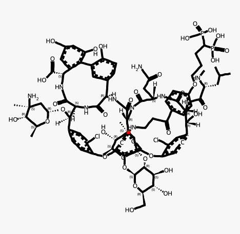 CN[C@H](CC(C)C)C(=O)N[C@H]1C(=O)N[C@@H](CC(N)=O)C(=O)N[C@H]2C(=O)N[C@H]3C(=O)N[C@H](C(=O)N[C@H](C(=O)O)c4cc(O)cc(O)c4-c4cc3ccc4O)[C@H](O[C@H]3C[C@](C)(N)[C@@H](O)[C@H](C)O3)c3ccc(c(Cl)c3)Oc3cc2cc(c3O[C@@H]2O[C@H](CO)[C@@H](O)[C@H](O)[C@H]2O[C@H]2C[C@](C)(NCCC(=O)c3ccc(OCCCC(P(=O)(O)O)P(=O)(O)O)cc3)[C@@H](O)[C@H](C)O2)Oc2ccc(cc2Cl)[C@H]1O